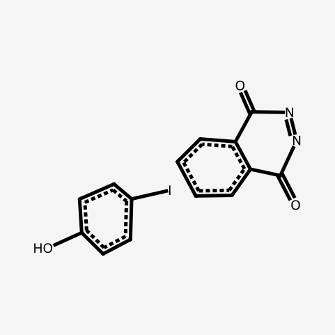 O=C1N=NC(=O)c2ccccc21.Oc1ccc(I)cc1